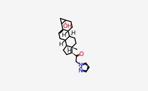 C[C@]12CC[C@H]3[C@@H](CC=C4C5C[C@@]5(O)CC[C@@H]43)[C@@H]1CC[C@@H]2C(=O)Cn1cccn1